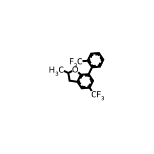 CC1Cc2cc(C(F)(F)F)cc(-c3ccccc3C(F)(F)F)c2O1